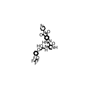 CN1CCC(N2C(=O)c3cc4nc(-c5c(NC[C@@H](O)COc6cccc(OC(F)(F)C(F)F)c6)cc[nH]c5=O)[nH]c4cc3C2=O)CC1